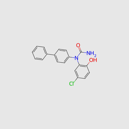 NC(=O)N(c1ccc(-c2ccccc2)cc1)c1cc(Cl)ccc1O